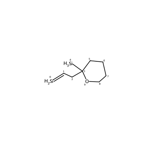 [SiH2]=CCC1([SiH3])CCCCO1